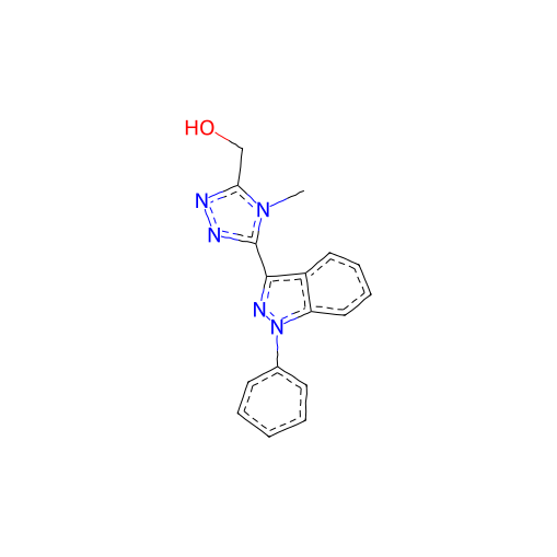 Cn1c(CO)nnc1-c1nn(-c2ccccc2)c2ccccc12